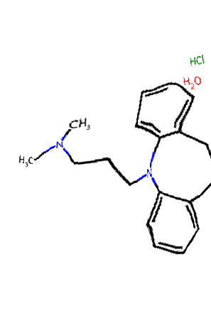 CN(C)CCCN1c2ccccc2CCc2ccccc21.Cl.O